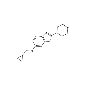 [CH]1CCC(c2cc3ccc(OCC4CC4)cc3o2)CC1